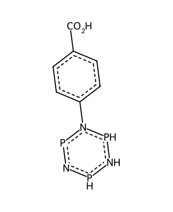 O=C(O)c1ccc(-n2pn[pH][nH][pH]2)cc1